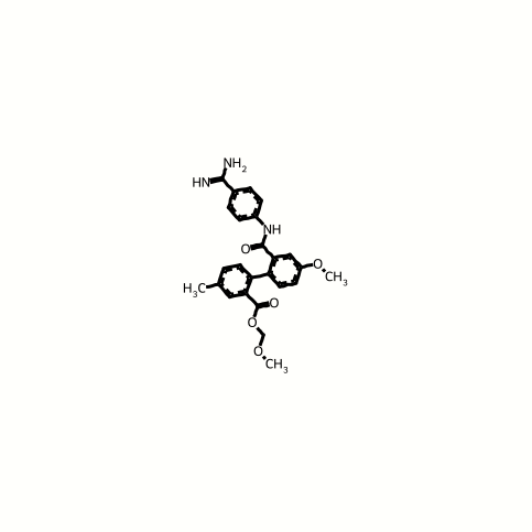 COCOC(=O)c1cc(C)ccc1-c1ccc(OC)cc1C(=O)Nc1ccc(C(=N)N)cc1